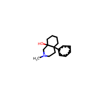 CN1CCC2(c3ccccc3)CCCCC2(O)C1